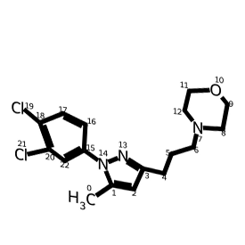 Cc1cc(CCCN2CCOCC2)nn1-c1ccc(Cl)c(Cl)c1